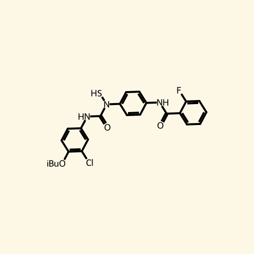 CC(C)COc1ccc(NC(=O)N(S)c2ccc(NC(=O)c3ccccc3F)cc2)cc1Cl